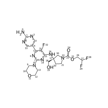 Nc1ncc(-c2nc(N3CCOCC3)nc(N[C@@]3(CO)CCN(C(=O)OCC(F)F)C3)c2F)cn1